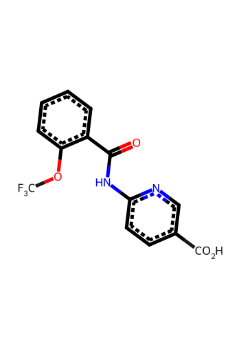 O=C(O)c1ccc(NC(=O)c2ccccc2OC(F)(F)F)nc1